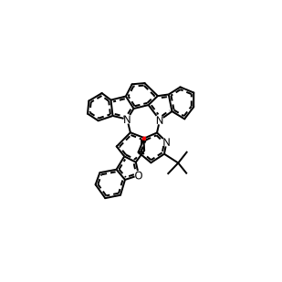 CC(C)(C)c1cccc(-n2c3ccccc3c3ccc4c5ccccc5n(-c5ccc6oc7ccccc7c6c5)c4c32)n1